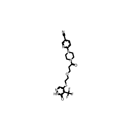 N#Cc1ccc(N2CCN(C(=O)CCOCCSc3cn[nH]c(=O)c3C(F)(F)F)CC2)nc1